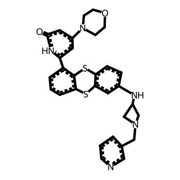 O=c1cc(N2CCOCC2)cc(-c2cccc3c2Sc2ccc(NC4CN(Cc5cccnc5)C4)cc2S3)[nH]1